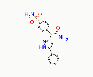 NC(=O)C(c1ccc(S(N)(=O)=O)cc1)c1cc(-c2ccccc2)[nH]n1